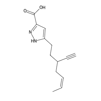 C#CC(C/C=C\C)CCc1cc(C(=O)O)n[nH]1